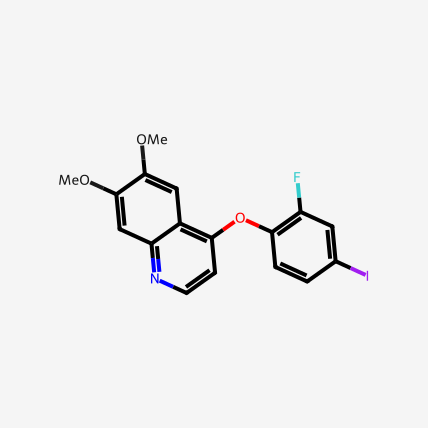 COc1cc2nccc(Oc3ccc(I)cc3F)c2cc1OC